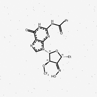 CC[C@H]1O[C@@H](n2cnc3c(=O)[nH]c(NC(=O)C(C)C)nc32)[C@H](OC(F)(F)F)C1=NO